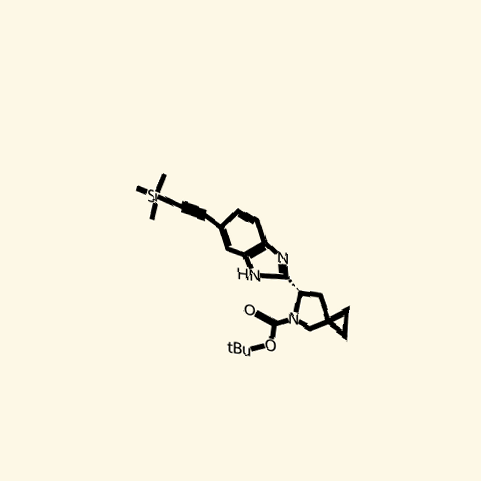 CC(C)(C)OC(=O)N1CC2(CC2)C[C@H]1c1nc2ccc(C#C[Si](C)(C)C)cc2[nH]1